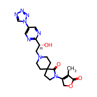 CC1=C(N2CCC3(CCN(C[C@@H](O)c4ncc(-n5cnnn5)cn4)CC3)C2=O)COC1=O